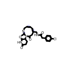 C/C1=N/C/C=C\C=C(\CNC(=O)Cc2ccc(Cl)cc2)CC(=O)N1C1CCC(=O)NC1=O